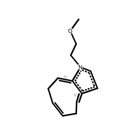 COCCn1ccc2/c1=C\CC=CC/C=2